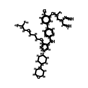 C[C@@H](CN(C=N)N=N)Oc1cc(-c2cnc(Nc3cn([C@H]4CC[C@H](N5CCOCC5)CC4)nc3OCCCOCC(F)F)nc2)ccc1Cl